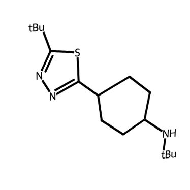 CC(C)(C)NC1CCC(c2nnc(C(C)(C)C)s2)CC1